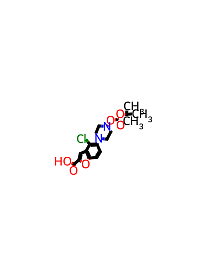 CC(C)(C)OC(=O)ON1CCN(c2ccc3oc(C(=O)O)cc3c2Cl)CC1